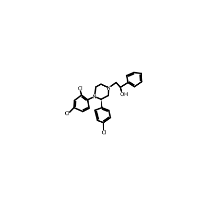 OC(CN1CCN(c2ccc(Cl)cc2Cl)[C@H](c2ccc(Cl)cc2)C1)c1ccccc1